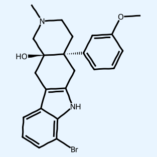 COc1cccc([C@@]23CCN(C)C[C@@]2(O)Cc2c([nH]c4c(Br)cccc24)C3)c1